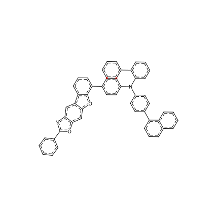 c1ccc(-c2nc3cc4c(cc3o2)oc2c(-c3ccc(N(c5ccc(-c6cccc7ccccc67)cc5)c5ccccc5-c5ccccc5)cc3)cccc24)cc1